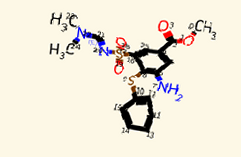 COC(=O)c1cc(N)c(Sc2ccccc2)c(S(=O)(=O)/N=C/N(C)C)c1